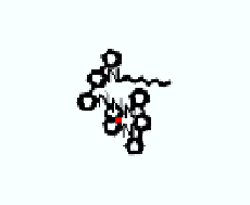 CCCCCCCCn1c2ccccc2c2ccc(-c3ccccc3N(C)c3cccc(-n4c5ccccc5c5ccc6c7ccccc7n(-c7ccccc7)c6c54)n3)cc21